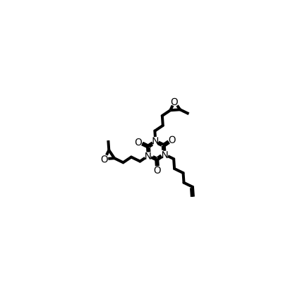 C=CCCCCn1c(=O)n(CCCC2OC2C)c(=O)n(CCCC2OC2C)c1=O